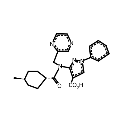 C[C@H]1CC[C@H](C(=O)N(Cc2cnccn2)c2nn(-c3ccccc3)cc2C(=O)O)CC1